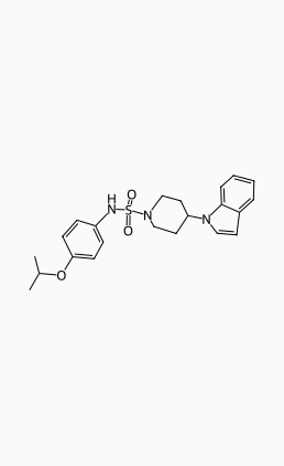 CC(C)Oc1ccc(NS(=O)(=O)N2CCC(n3ccc4ccccc43)CC2)cc1